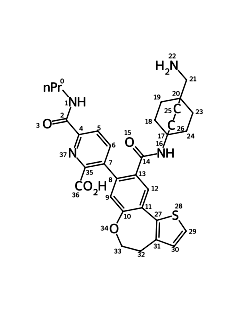 CCCNC(=O)c1ccc(-c2cc3c(cc2C(=O)NC24CCC(CN)(CC2)CC4)-c2sccc2CCO3)c(C(=O)O)n1